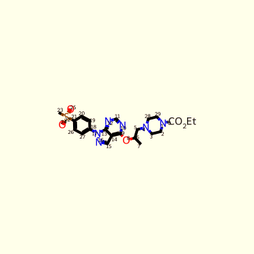 CCOC(=O)N1CCN(CC(C)Oc2ncnc3c2cnn3-c2ccc(S(C)(=O)=O)cc2)CC1